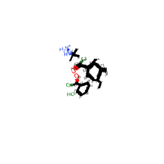 CC(C)(C)NN.CCc1ccc(C(=O)Cl)c(C)c1C.Cl.O=C(Cl)c1ccccc1